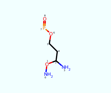 NOC(N)CCOP=O